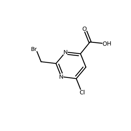 O=C(O)c1cc(Cl)nc(CBr)n1